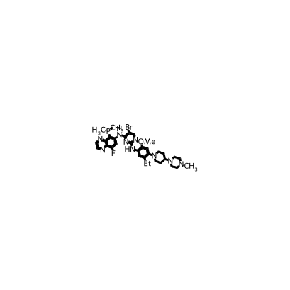 CCc1cc(Nc2ncc(Br)c(Nc3cc(F)c4nccnc4c3P(C)C)n2)c(OC)cc1N1CCC(N2CCN(C)CC2)CC1